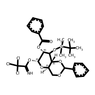 CC(C)(C)[Si](C)(C)OC1[C@@H](OC(=O)c2ccccc2)[C@@H](OC(=N)C(Cl)(Cl)Cl)O[C@@H]2COC(c3ccccc3)O[C@@H]12